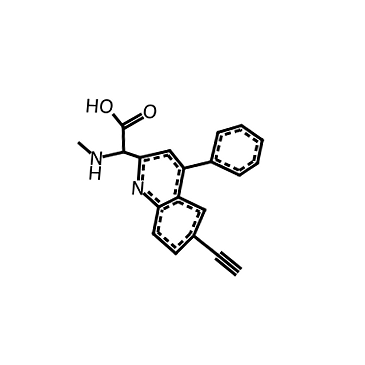 C#Cc1ccc2nc(C(NC)C(=O)O)cc(-c3ccccc3)c2c1